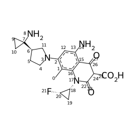 Cc1c(N2CC[C@@H](C3(N)CC3)C2)cc(N)c2c1N([C@@H]1C[C@@H]1F)C(=O)C(C(=O)O)C2=O